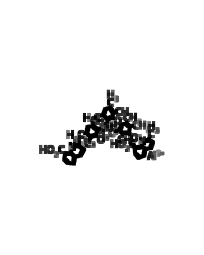 Cc1cc(C)c(C)c([O-])c1C.Cc1cc(C)c(C)c([O-])c1C.Cc1cc(C)c(C)c([O-])c1C.Cc1ccc2cccc(C(=O)O)c2n1.Cc1ccc2cccc(C(=O)O)c2n1.[Al+3]